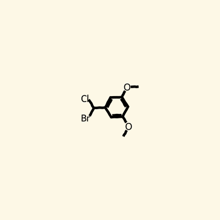 COc1cc(OC)cc(C(Cl)Br)c1